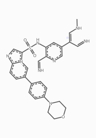 CN/C=C(\C=N)c1cnc(C=N)c(NS(=O)(=O)c2cnc3ccc(-c4ccc(N5CCOCC5)cc4)cn23)c1